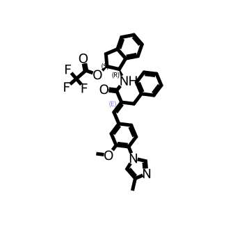 COc1cc(/C=C(\Cc2ccccc2)C(=O)N[C@@H]2c3ccccc3C[C@@H]2OC(=O)C(F)(F)F)ccc1-n1cnc(C)c1